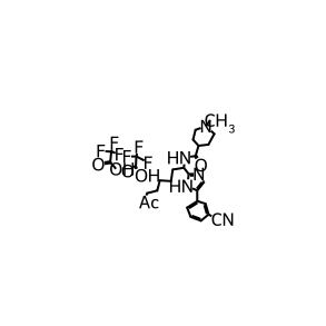 CC(=O)CCCCCC(NC(=O)C1CCN(C)CC1)c1ncc(-c2cccc(C#N)c2)[nH]1.O=C(O)C(F)(F)F.O=C(O)C(F)(F)F